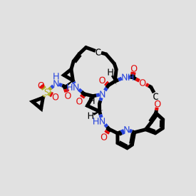 O=C1N[C@H]2CCCCC/C=C\C3C[C@@]3(C(=O)NS(=O)(=O)C3CC3)NC(=O)[C@@H]3C[C@H](CN3C2=O)NC(=O)c2cccc(n2)-c2cccc(c2)OCCO1